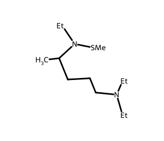 CCN(CC)CCCC(C)N(CC)SC